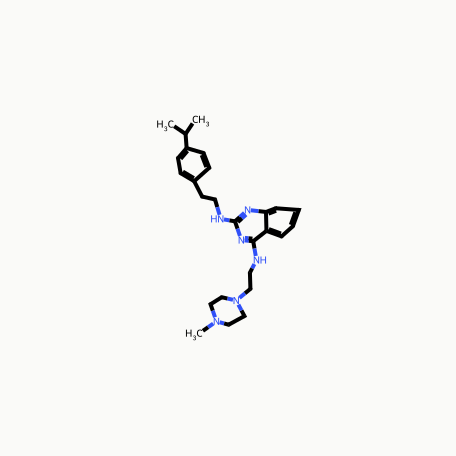 CC(C)c1ccc(CCNc2nc(NCCN3CCN(C)CC3)c3ccccc3n2)cc1